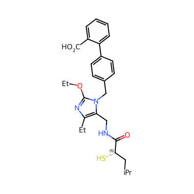 CCOc1nc(CC)c(CNC(=O)[C@@H](S)CC(C)C)n1Cc1ccc(-c2ccccc2C(=O)O)cc1